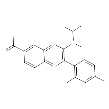 CC(C)N(C)c1nc2cc(C(=O)O)ccc2nc1-c1ccc(F)cc1F